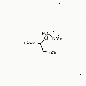 CCCCCCCCCC(Cl)CCCCCCCC.CNC